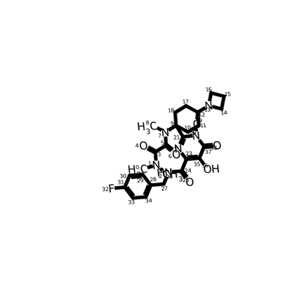 CN(C)C(=O)C(=O)N(C)C12CCC(N3CCC3)(CC1)Cn1c2nc(C(=O)NCc2ccc(F)cc2)c(O)c1=O